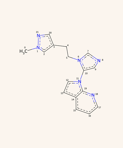 Cn1cc(CCn2cncc2-n2ccc3cccnc32)cn1